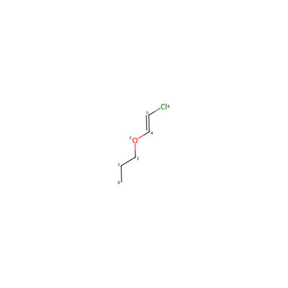 CCCOC=CCl